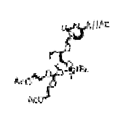 CC(=O)Nc1ccn(CO[C@H](CI)[C@@H](COC(OCCOC(C)=O)OCCOC(C)=O)O[Si](C)(C)C(C)(C)C)c(=O)n1